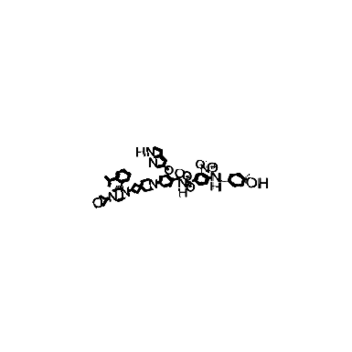 CC(C)c1ccccc1[C@@H]1CN(C2COC2)CCN1C1CC2(CCN(c3ccc(C(=O)NS(=O)(=O)c4ccc(NC[C@H]5CC[C@](C)(O)CC5)c([N+](=O)[O-])c4)c(Oc4cnc5[nH]ccc5c4)c3)CC2)C1